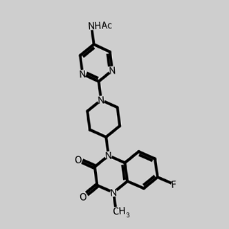 CC(=O)Nc1cnc(N2CCC(n3c(=O)c(=O)n(C)c4cc(F)ccc43)CC2)nc1